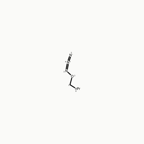 CCCCON=[N+]=[N-]